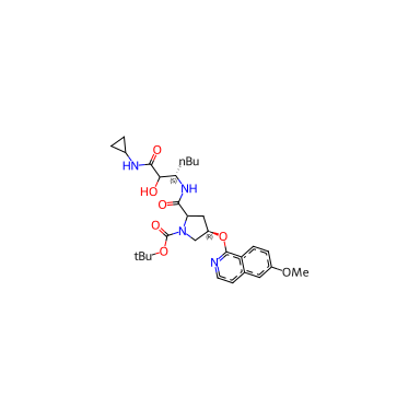 CCCC[C@H](NC(=O)C1C[C@@H](Oc2nccc3cc(OC)ccc23)CN1C(=O)OC(C)(C)C)C(O)C(=O)NC1CC1